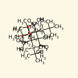 CC(C)(C)[Si](C)(C)C(C(=O)O)(C(O)(C(=O)O)C(C(=O)O)([Si](C)(C)C(C)(C)C)[Si](C)(C)C(C)(C)C)[Si](C)(C)C(C)(C)C